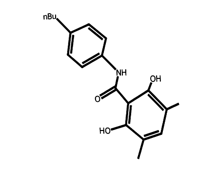 CCCCc1ccc(NC(=O)c2c(O)c(C)cc(C)c2O)cc1